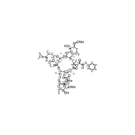 CON=C1C[C@@H](C)O[C@@H](O[C@@H]2[C@@H](C)[C@H](O[C@H]3CC(C)N(C4CC4)C[C@H](C)O3)[C@@H](C)C(=O)OC([C@@H](C)CO[C@@H]3O[C@H](C)[C@@H](O)[C@@H](OC)[C@H]3OC)[C@H](C)[C@@H](OC(=O)CC(C)C)[C@@H](C)C(=O)[C@@](C)(OC(=O)NCc3ccccc3)C[C@@H]2C)[C@@H]1O